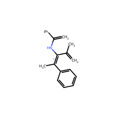 C=C(C)/C(NC(=C)C(C)C)=C(/C)c1ccccc1